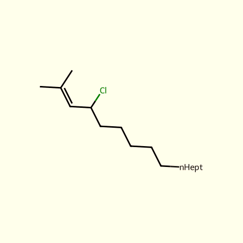 CCCCCCCCCCCCC(Cl)C=C(C)C